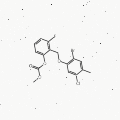 COC(=O)Oc1cccc(F)c1COc1cc(Cl)c(C)cc1Br